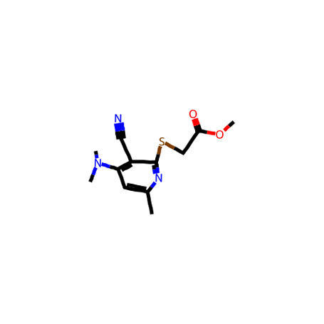 COC(=O)CSc1nc(C)cc(N(C)C)c1C#N